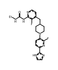 CCNC(=O)Nc1nccc(CC2CCN(c3ccc(-c4ncc[nH]4)nc3F)CC2)c1F